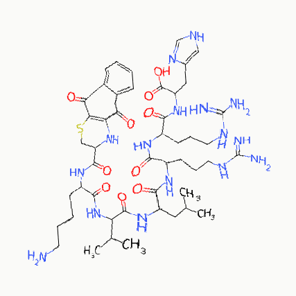 CC(C)CC(NC(=O)C(NC(=O)C(CCCCN)NC(=O)C1CSC2=C(N1)C(=O)c1ccccc1C2=O)C(C)C)C(=O)NC(CCCNC(=N)N)C(=O)NC(CCCNC(=N)N)C(=O)NC(Cc1c[nH]cn1)C(=O)O